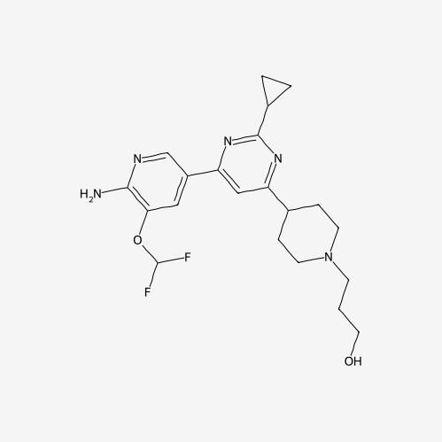 Nc1ncc(-c2cc(C3CCN(CCCO)CC3)nc(C3CC3)n2)cc1OC(F)F